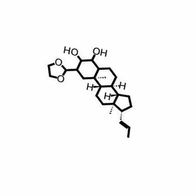 CC=C[C@H]1CC[C@H]2[C@@H]3CCC4C(O)C(O)C(C5OCCO5)C[C@]4(C)[C@H]3CC[C@]12C